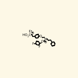 CCOC(Cc1ccc(OCCN(CCCc2ccccc2)C(=O)OCc2ccc(F)cc2F)cc1)C(=O)O